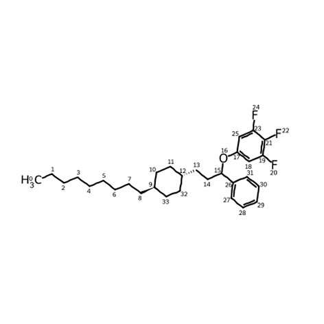 CCCCCCCCC[C@H]1CC[C@H](CCC(Oc2cc(F)c(F)c(F)c2)c2ccccc2)CC1